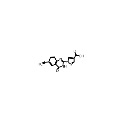 C#Cc1ccc2nc(-n3cc(C(=O)O)cn3)[nH]c(=O)c2c1